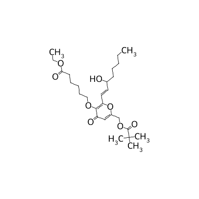 CCCCCC(O)C=Cc1oc(COC(=O)C(C)(C)C)cc(=O)c1OCCCCCC(=O)OCC